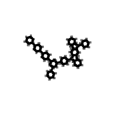 c1ccc(-c2ccc(-c3ccc(-c4nc(-c5ccccc5)cc(-c5ccc(-n6c7ccccc7c7cc8c(cc76)c6ccccc6n8-c6ccccc6)cc5)n4)cc3)cc2)cc1